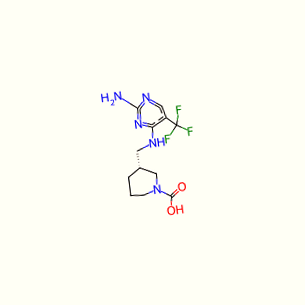 Nc1ncc(C(F)(F)F)c(NC[C@H]2CCCN(C(=O)O)C2)n1